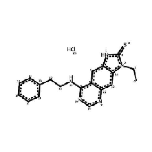 CCn1c(=S)[nH]c2cc3c(NCCc4ccccc4)ncnc3cc21.Cl